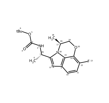 C[C@H](NC(=O)OC(C)(C)C)c1nc2ccc(F)c3c2n1[C@@H](C)CO3